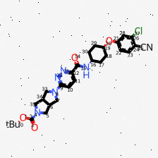 CC(C)(C)OC(=O)N1CC2CN(c3ccc(C(=O)N[C@H]4CC[C@H](Oc5ccc(C#N)c(Cl)c5)CC4)nn3)CC2C1